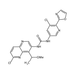 COC(C)c1c(NC(=O)Nc2cnc(-c3ncco3)c(Cl)c2)cnc2ccc(Cl)nc12